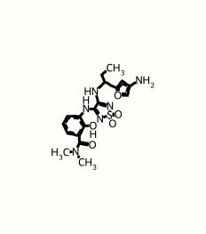 CCC(NC1=NS(=O)(=O)N=C1Nc1cccc(C(=O)N(C)C)c1O)c1cc(N)co1